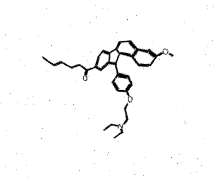 CCCCCC(=O)c1ccc2c(c1)C(c1ccc(OCCN(CC)CC)cc1)c1c-2ccc2cc(OC)ccc12